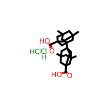 CC12CC3(C)CC(C(=O)O)(C1)CC(C14CC5(C)CC(C)(CC(C(=O)O)(C5)C1)C4)(C2)C3.Cl.Cl